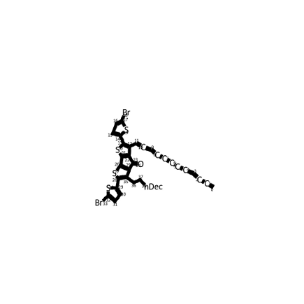 C=C=C=C=C=C=C=C=C=C=C=Cc1c(-c2ccc(Br)s2)sc2c1C(=O)c1c-2sc(-c2ccc(Br)s2)c1CCCCCCCCCCCC